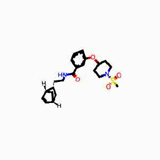 CS(=O)(=O)N1CCC(Oc2cccc(C(=O)NCC[C@@H]3C[C@@H]4C=C[C@H]3C4)c2)CC1